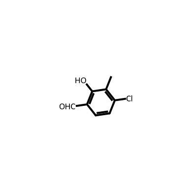 Cc1c(Cl)ccc(C=O)c1O